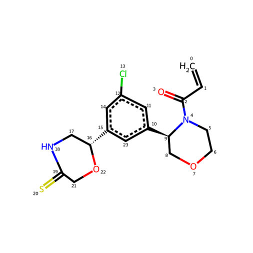 C=CC(=O)N1CCOC[C@H]1c1cc(Cl)cc([C@H]2CNC(=S)CO2)c1